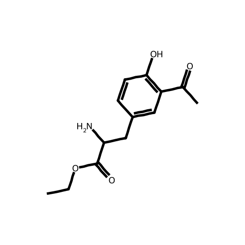 CCOC(=O)C(N)Cc1ccc(O)c(C(C)=O)c1